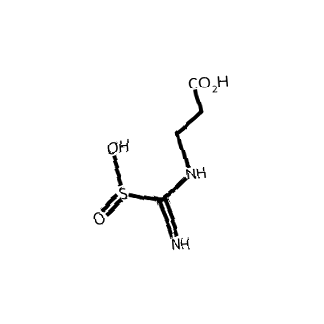 N=C(NCCC(=O)O)S(=O)O